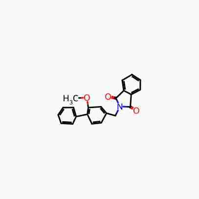 COc1cc(CN2C(=O)c3ccccc3C2=O)ccc1-c1ccccc1